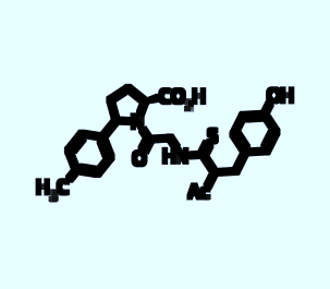 CC(=O)C(Cc1ccc(O)cc1)C(=S)NCC(=O)N1C(c2ccc(C)cc2)CC[C@H]1C(=O)O